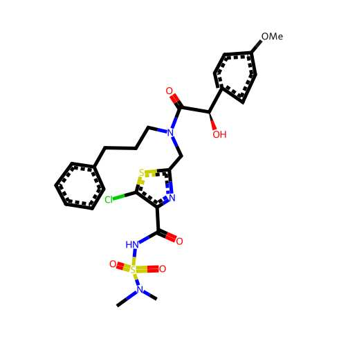 COc1ccc([C@@H](O)C(=O)N(CCCc2ccccc2)Cc2nc(C(=O)NS(=O)(=O)N(C)C)c(Cl)s2)cc1